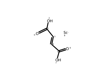 O=C(O)/C=C/C(=O)O.[Sc]